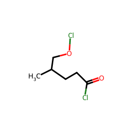 CC(CCC(=O)Cl)COCl